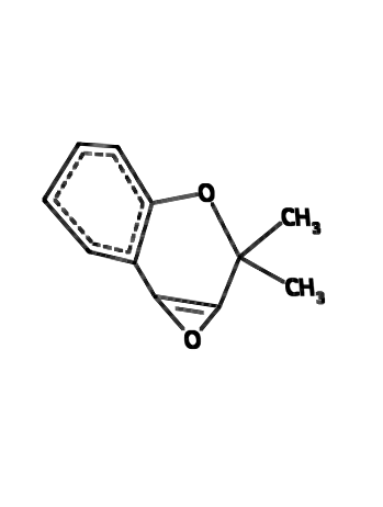 CC1(C)Oc2ccccc2C2=C1O2